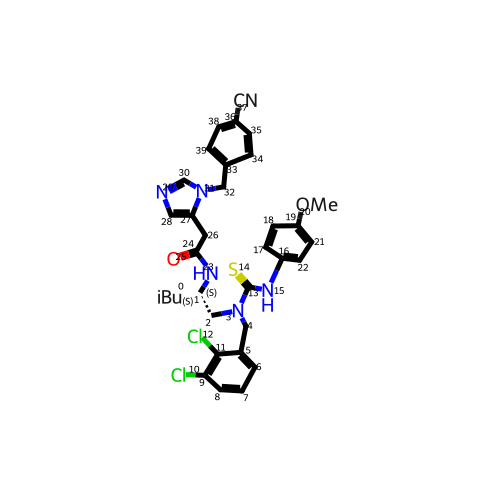 CC[C@H](C)[C@@H](CN(Cc1cccc(Cl)c1Cl)C(=S)Nc1ccc(OC)cc1)NC(=O)Cc1cncn1Cc1ccc(C#N)cc1